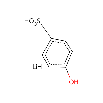 O=S(=O)(O)c1ccc(O)cc1.[LiH]